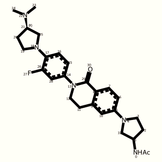 CC(=O)NC1CCN(c2ccc3c(c2)CCN(c2ccc(N4CC[C@@H](N(C)C)C4)c(F)c2)C3=O)C1